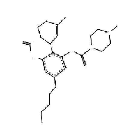 C=C(C)[C@@H]1CCC(C)=C[C@H]1c1c(O)cc(CCCCC)cc1OC(=O)N1CCN(C)CC1